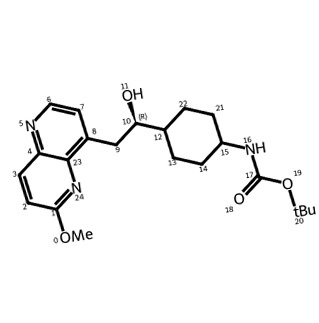 COc1ccc2nccc(C[C@@H](O)C3CCC(NC(=O)OC(C)(C)C)CC3)c2n1